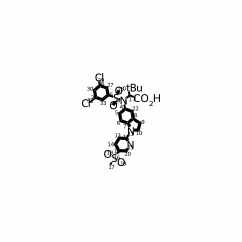 CC(C)(C)C(C(=O)O)N(c1ccc2c(ccn2-c2ccc(S(C)(=O)=O)cn2)c1)S(=O)(=O)c1cc(Cl)cc(Cl)c1